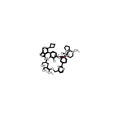 C=C/C(CC(CO)Oc1nsc2cnc(C3CCC3)c(-c3ccc(OCCN4CCN(C)CC4)c(Cl)c3C)c12)=C(\C)OCc1ccnc(-c2ccc(S(=O)(=O)N3CCCC3)c(C)c2)n1